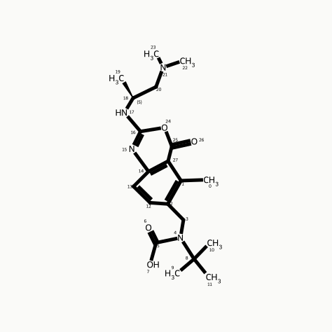 Cc1c(CN(C(=O)O)C(C)(C)C)ccc2nc(N[C@@H](C)CN(C)C)oc(=O)c12